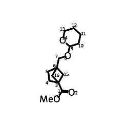 COC(=O)C12CCC(COC3CCCCO3)(C1)C2